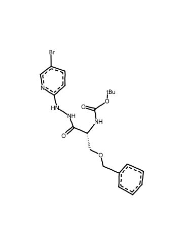 CC(C)(C)OC(=O)N[C@H](COCc1ccccc1)C(=O)NNc1ccc(Br)cn1